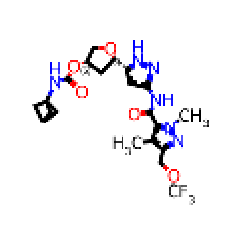 Cc1c(COC(F)(F)F)nn(C)c1C(=O)Nc1cc([C@@H]2C[C@H](OC(=O)NC34CC(C3)C4)CO2)[nH]n1